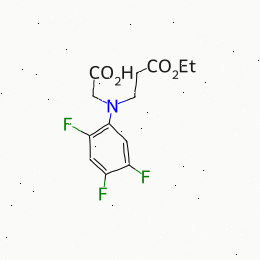 CCOC(=O)CCN(CC(=O)O)c1cc(F)c(F)cc1F